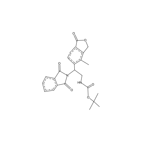 Cc1c(C(CNC(=O)OC(C)(C)C)N2C(=O)c3ccccc3C2=O)ccc2c1COC2=O